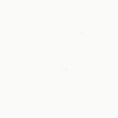 C=CCOS(=O)(=O)OCC(O)CO.CN